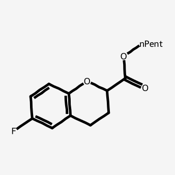 CCCCCOC(=O)C1CCc2cc(F)ccc2O1